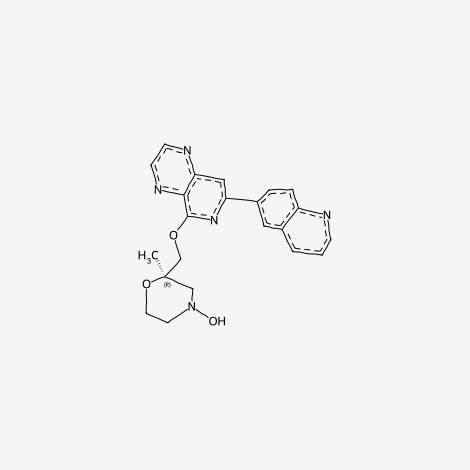 C[C@]1(COc2nc(-c3ccc4ncccc4c3)cc3nccnc23)CN(O)CCO1